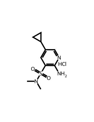 CN(C)S(=O)(=O)c1cc(C2CC2)cnc1N.Cl